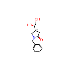 O=C1C[C@H](C(O)CO)CN1Cc1ccccc1